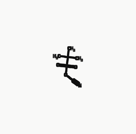 CC(C)(C)S(=O)(=O)OC#N